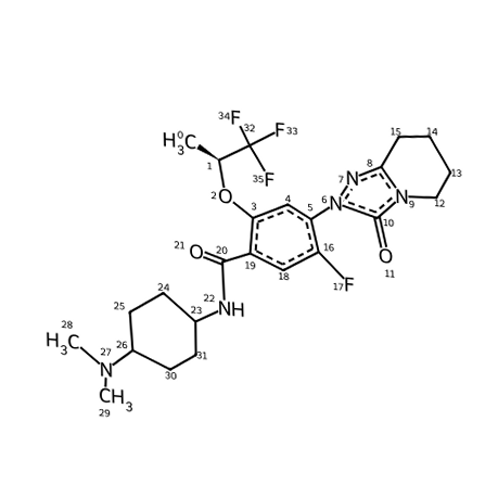 C[C@H](Oc1cc(-n2nc3n(c2=O)CCCC3)c(F)cc1C(=O)NC1CCC(N(C)C)CC1)C(F)(F)F